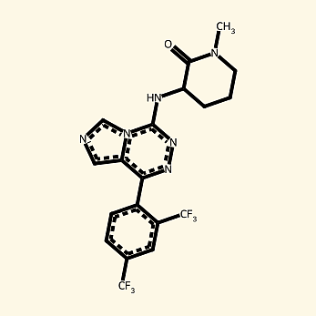 CN1CCCC(Nc2nnc(-c3ccc(C(F)(F)F)cc3C(F)(F)F)c3cncn23)C1=O